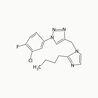 CCCCc1nccn1Cc1cn(-c2ccc(F)c(Cl)c2)nn1